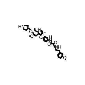 CCc1nccc(Oc2ccc(NC(=O)C(=O)CNCCc3cccc(OC)c3)cc2F)c1/C=C(\COCC1CCNCC1)OC